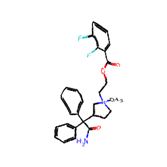 C[N+]1(CCOC(=O)c2cccc(F)c2F)CCC(C(C(N)=O)(c2ccccc2)c2ccccc2)C1